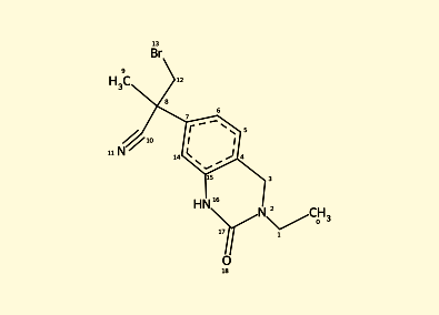 CCN1Cc2ccc(C(C)(C#N)CBr)cc2NC1=O